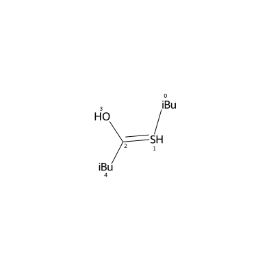 CCC(C)[SH]=C(O)C(C)CC